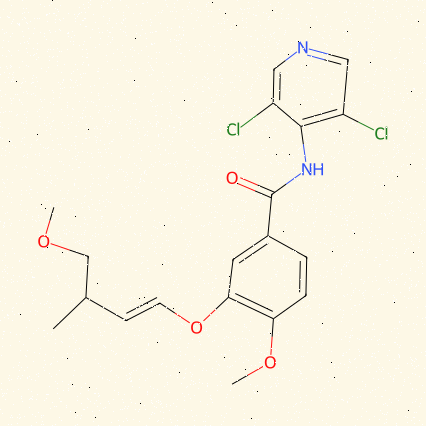 COCC(C)C=COc1cc(C(=O)Nc2c(Cl)cncc2Cl)ccc1OC